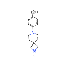 CN1CC2(CCN(c3ccc(C(C)(C)C)cc3)CC2)C1